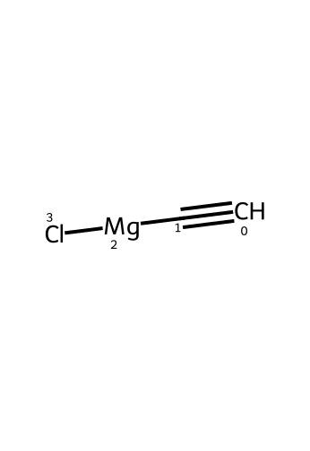 C#[C][Mg][Cl]